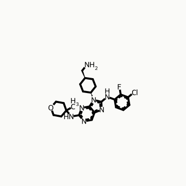 CC1(Nc2ncc3nc(Nc4cccc(Cl)c4F)n([C@H]4CC[C@H](CN)CC4)c3n2)CCOCC1